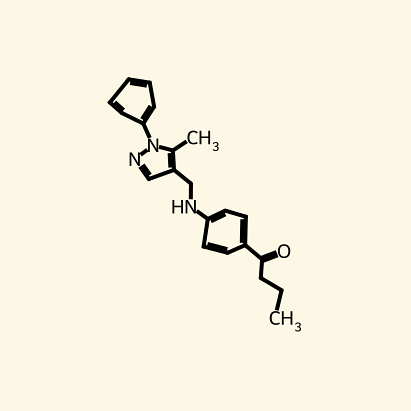 CCCC(=O)c1ccc(NCc2cnn(-c3ccccc3)c2C)cc1